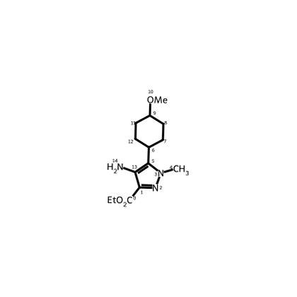 CCOC(=O)c1nn(C)c(C2CCC(OC)CC2)c1N